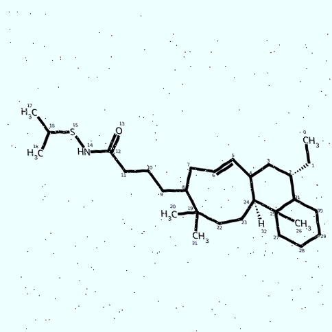 CC[C@H]1CC2/C=C/CC(CCCC(=O)NSC(C)C)C(C)(C)CC[C@@H]2C2(C)CCCCC12